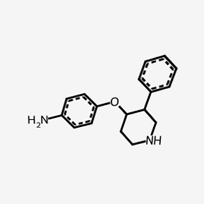 Nc1ccc(OC2CCNCC2c2ccccc2)cc1